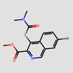 COC(=O)c1ncc2cc(Br)ccc2c1SC(=O)N(C)C